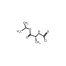 CC(C)OC(=O)[C@H](C)NC(=O)Cl